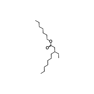 CCCCCCCOC(=O)CC(CC)CCCCCCC